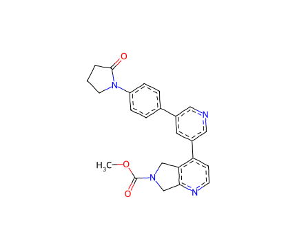 COC(=O)N1Cc2nccc(-c3cncc(-c4ccc(N5CCCC5=O)cc4)c3)c2C1